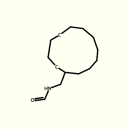 O=CNCC1CCCCCCCCCCC1